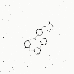 Cc1ccc(NC(=O)c2ccc(CN3C(=O)CNS3(=O)=O)cc2)cc1Nc1nccc(-c2cccnc2)n1